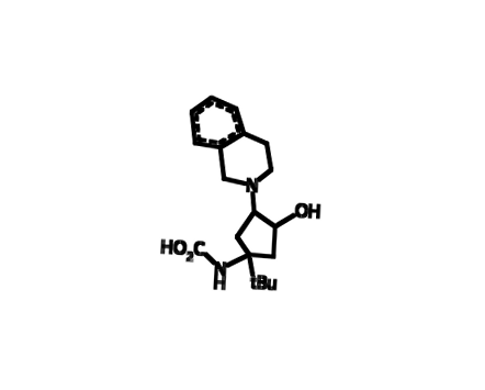 CC(C)(C)C1(NC(=O)O)CC(O)C(N2CCc3ccccc3C2)C1